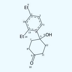 CCc1ccc(C2(O)CCC(=O)CC2)c(CC)c1